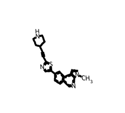 Cn1ccc2c3cc(-c4cnc(C#CC5CCNCC5)s4)ccc3cnc21